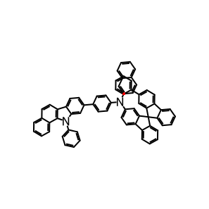 c1ccc(-c2ccc3c(c2)C2(c4ccccc4-3)c3ccccc3-c3ccc(N(c4ccc(-c5ccc6c7ccc8ccccc8c7n(-c7ccccc7)c6c5)cc4)c4ccc5ccccc5c4)cc32)cc1